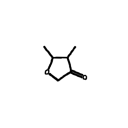 CC1OCC(=O)C1C